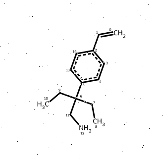 C=Cc1ccc(C(CC)(CC)CN)cc1